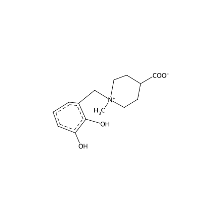 C[N+]1(Cc2cccc(O)c2O)CCC(C(=O)[O-])CC1